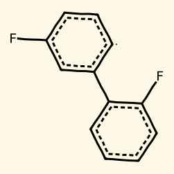 Fc1cc[c]c(-c2ccccc2F)c1